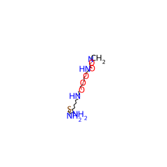 C=NOCC(=O)NCCOCCOCCOCCNCCCCCC1SCC(N)C1N